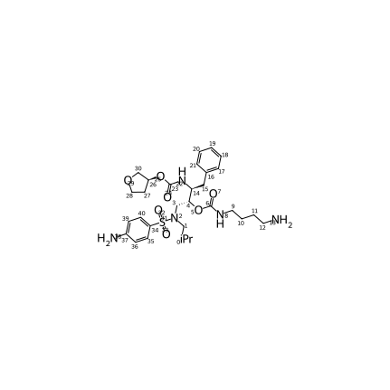 CC(C)CN(C[C@@H](OC(=O)NCCCCN)[C@H](Cc1ccccc1)NC(=O)O[C@H]1CCOC1)S(=O)(=O)c1ccc(N)cc1